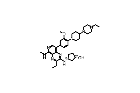 CCc1nc2c(NC)ncc(-c3ccc(N4CCC(N5CCN(CC)CC5)CC4)c(OC)c3)c2nc1N[C@@H]1CC[C@H](O)C1